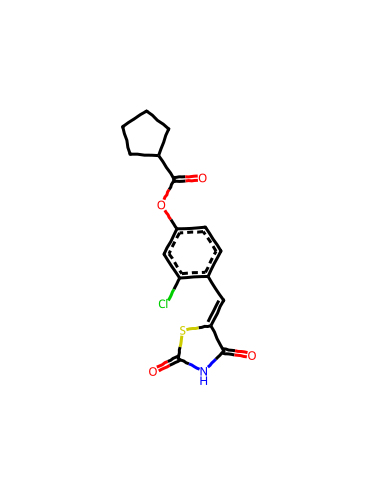 O=C1NC(=O)C(=Cc2ccc(OC(=O)C3CCCC3)cc2Cl)S1